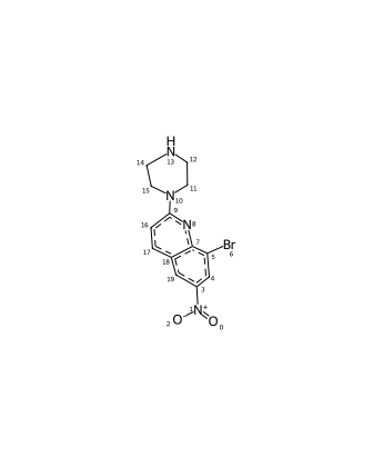 O=[N+]([O-])c1cc(Br)c2nc(N3CCNCC3)ccc2c1